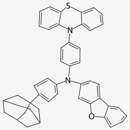 c1ccc2c(c1)Sc1ccccc1N2c1ccc(N(c2ccc(C34CC5CC(CC(C5)C3)C4)cc2)c2ccc3c(c2)oc2ccccc23)cc1